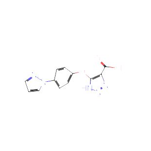 O=C(O)c1nn[nH]c1Oc1ccc(-n2cccn2)cc1